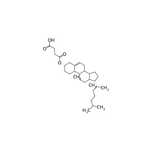 CC(C)CCCC(C)[C@H]1CCC2C3CC=C4C[C@@H](OC(=O)CCC(=O)O)CC[C@]4(C)C3CC[C@@]21C